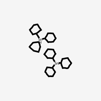 C1CC[CH]([SnH]([CH]2CCCCC2)[CH]2CCCCC2)CC1.C1CC[CH]([SnH]([CH]2CCCCC2)[CH]2CCCCC2)CC1